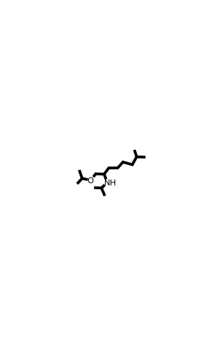 CC(C)CCCCC(COC(C)C)NC(C)C